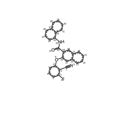 N#Cc1c(F)cccc1Oc1cc2ccccc2cc1C(=O)Nc1cccc2ccccc12